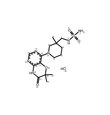 CC1(CNS(N)(=O)=O)CCCN(c2ncnc3c2OC(C)(C)C(=O)N3)C1.Cl